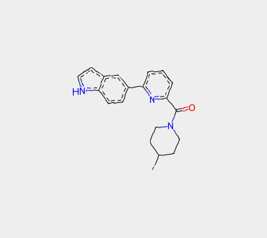 CC1CCN(C(=O)c2cccc(-c3ccc4[nH]ccc4c3)n2)CC1